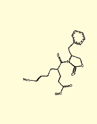 COCCCCC(CCC(=O)OC)C(=O)N1C(=O)OCC1Cc1ccccc1